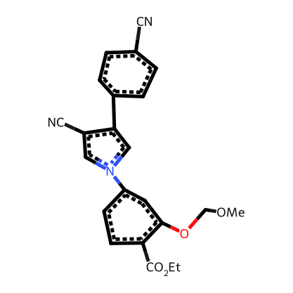 CCOC(=O)c1ccc(-n2cc(C#N)c(-c3ccc(C#N)cc3)c2)cc1OCOC